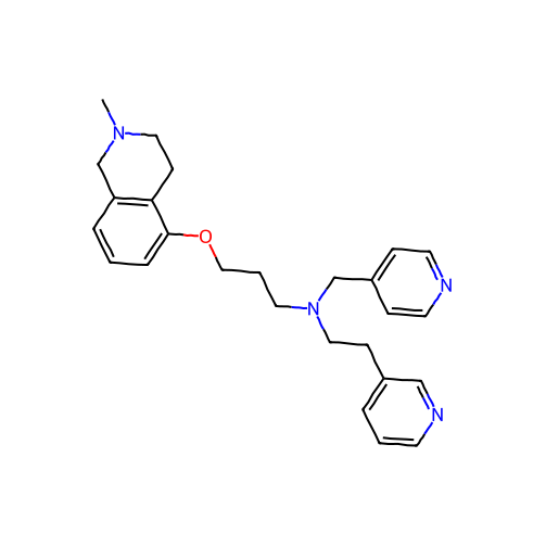 CN1CCc2c(cccc2OCCCN(CCc2cccnc2)Cc2ccncc2)C1